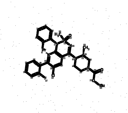 CC(C)c1ccccc1N1c2nc(-c3ccccc3F)c(Cl)cc2C(N2CCN(C(=O)OC(C)(C)C)C[C@@H]2C)=NP1(C)=O